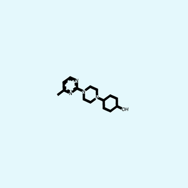 Cc1ccnc(N2CCN(C3CCC(O)CC3)CC2)n1